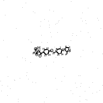 Cc1nccn1-c1ccc(COc2ccc(C(=O)NS(C)(=O)=O)cc2)cc1